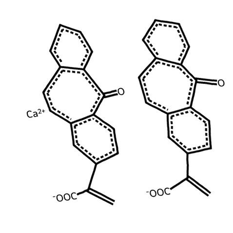 C=C(C(=O)[O-])c1ccc2c(=O)c3ccccc3ccc2c1.C=C(C(=O)[O-])c1ccc2c(=O)c3ccccc3ccc2c1.[Ca+2]